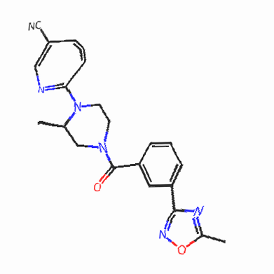 Cc1nc(-c2cccc(C(=O)N3CCN(c4ccc(C#N)cn4)C(C)C3)c2)no1